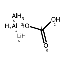 O=C(O)O.[AlH3].[AlH3].[LiH]